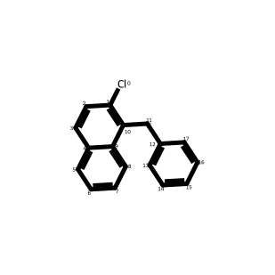 Clc1ccc2ccccc2c1[CH]c1ccccc1